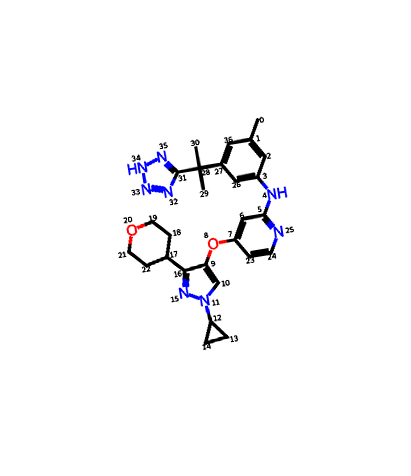 Cc1cc(Nc2cc(Oc3cn(C4CC4)nc3C3CCOCC3)ccn2)cc(C(C)(C)c2nn[nH]n2)c1